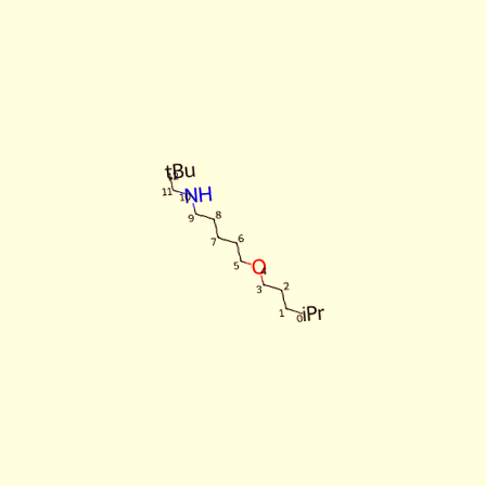 CC(C)CCCOCCCCCNCC(C)(C)C